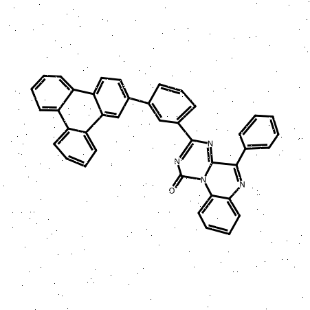 O=c1nc(-c2cccc(-c3ccc4c5ccccc5c5ccccc5c4c3)c2)nc2c(-c3ccccc3)nc3ccccc3n12